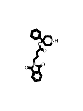 O=C(CCCN1C(=O)c2ccccc2C1=O)OC1(c2ccccc2)CCNCC1